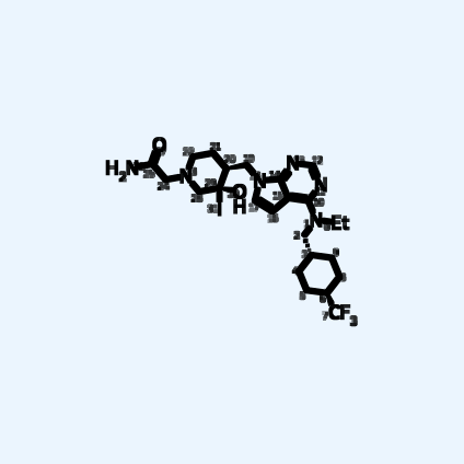 CCN(C[C@H]1CC[C@H](C(F)(F)F)CC1)c1ncnc2c1ccn2C[C@@H]1CCN(CC(N)=O)C[C@@]1(O)I